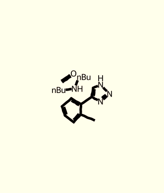 C=O.CCCCNCCCC.Cc1ccccc1-c1c[nH]nn1